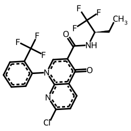 CC[C@@H](NC(=O)c1cn(-c2ccccc2C(F)(F)F)c2nc(Cl)ccc2c1=O)C(F)(F)F